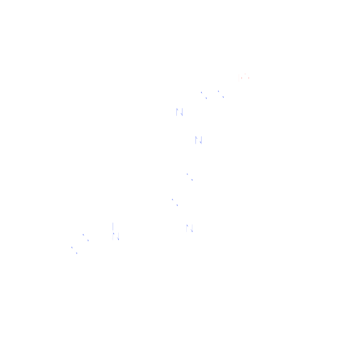 Cn1ccc(NCC#Cc2nccc(N3CCCN(c4cc(-c5ccccc5O)nnc4N)CC3)n2)n1